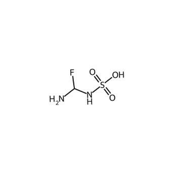 NC(F)NS(=O)(=O)O